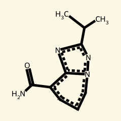 CC(C)c1nc2c(C(N)=O)[c]ccn2n1